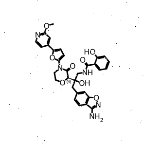 COc1cc(-c2ccc(N3CCO[C@H](C(O)(CNC(=O)c4ccccc4O)Cc4ccc5c(N)noc5c4)C3=O)o2)ccn1